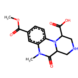 COC(=O)c1ccc2c(c1)N(C)C(=O)C1CNCC(C(=O)O)N21